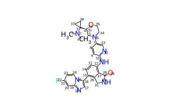 CN(C)C1([C@@H]2CN(c3ccc(Nc4ccc(-c5cnc6cc(F)ccn56)c5c4C(=O)NC5)nc3)CCO2)CC1